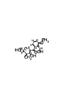 C=C(CCO)/C(O)=C(\CC)C(=O)c1cccc(OC)c1CO